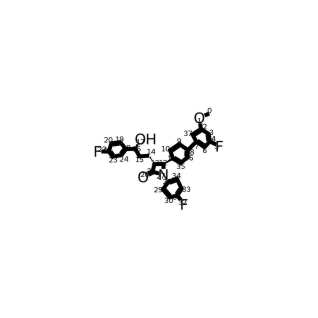 COc1cc(F)cc(-c2ccc([C@@H]3[C@@H](CC[C@H](O)c4ccc(F)cc4)C(=O)N3c3ccc(F)cc3)cc2)c1